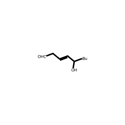 CCC(C)C(O)C=CCC=O